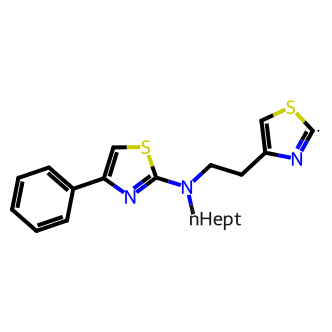 CCCCCCCN(CCc1cs[c]n1)c1nc(-c2ccccc2)cs1